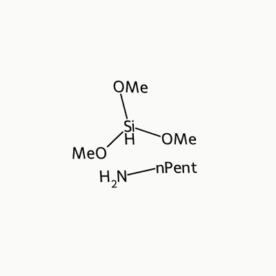 CCCCCN.CO[SiH](OC)OC